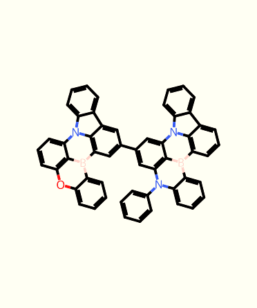 c1ccc(N2c3ccccc3B3c4c2cc(-c2cc5c6c(c2)c2ccccc2n6-c2cccc6c2B5c2ccccc2O6)cc4-n2c4ccccc4c4cccc3c42)cc1